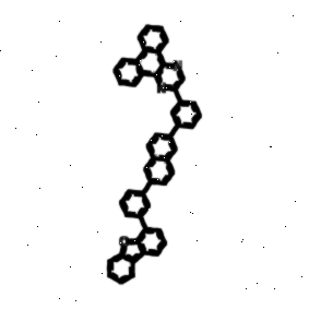 c1cc(-c2ccc3cc(-c4cccc(-c5cccc6c5oc5ccccc56)c4)ccc3c2)cc(-c2cnc3c4ccccc4c4ccccc4c3n2)c1